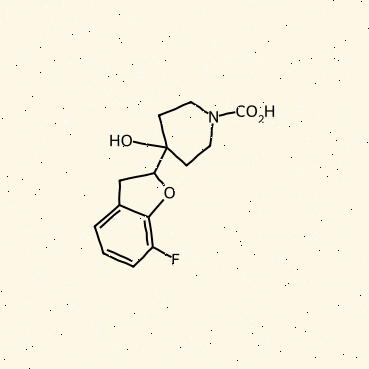 O=C(O)N1CCC(O)(C2Cc3cccc(F)c3O2)CC1